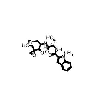 CC(C)CC(NC(=O)[C@H](CO)NC(=O)c1cc2ccccc2n1C)C(=O)C1(CO)CO1